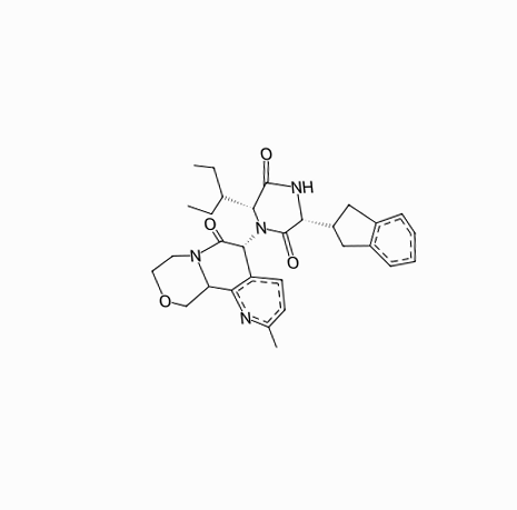 CCC(CC)[C@@H]1C(=O)N[C@H](C2Cc3ccccc3C2)C(=O)N1[C@H]1C(=O)N2CCOCC2c2nc(C)ccc21